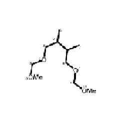 COCOCC(C)C(C)COCOC